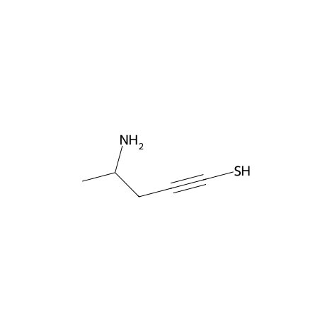 CC(N)CC#CS